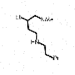 CCC(CCNCCC(C)C)CNC